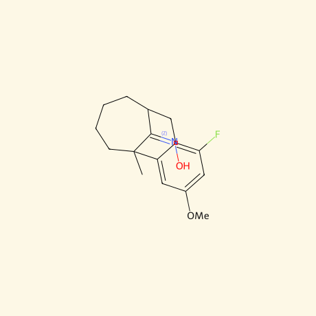 COc1cc(F)c2c(c1)C1(C)CCCCC(C2)/C1=N/O